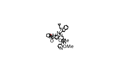 COc1ncccc1-n1cc(Cn2c(-c3cc4ccccc4n3CC3CC3)nc3cc(C(=O)N4CC5CCC4[C@@H]5N)cc(OC)c32)cn1